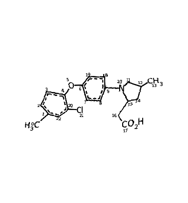 Cc1ccc(Oc2ccc(N3CC(C)CC3CC(=O)O)cc2)c(Cl)c1